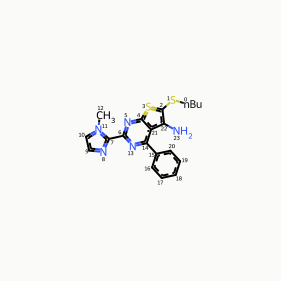 CCCCSc1sc2nc(-c3nccn3C)nc(-c3ccccc3)c2c1N